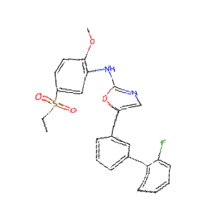 CCS(=O)(=O)c1ccc(OC)c(Nc2ncc(-c3cccc(-c4ccccc4F)c3)o2)c1